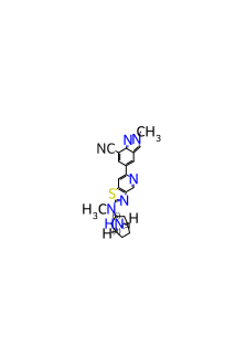 CN(c1nc2cnc(-c3cc(C#N)c4nn(C)cc4c3)cc2s1)[C@@H]1C[C@H]2CC[C@@H](C1)N2